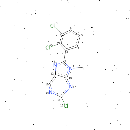 Cn1c(-c2cccc(Cl)c2Cl)nc2cnc(Cl)nc21